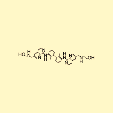 Cc1c(Nc2nccc3cc(CNCO)cnc23)cccc1-c1cccc(Nc2nccc3cc(CNCCO)cnc23)c1C